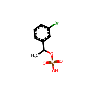 CC(OS(=O)(=O)O)c1cccc(Br)c1